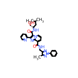 Cc1nn(-c2ccccc2)nc1CNC(=O)c1cccn2c(C(=O)N[C@H](CO)CC(C)C)c(-c3ccccn3)nc12